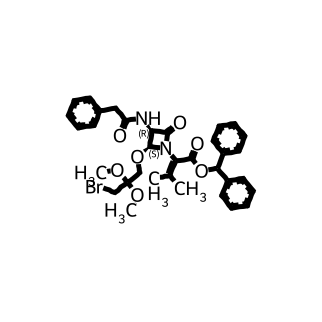 COC(CBr)(CO[C@H]1[C@@H](NC(=O)Cc2ccccc2)C(=O)N1C(C(=O)OC(c1ccccc1)c1ccccc1)=C(C)C)OC